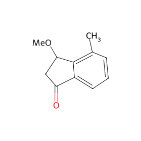 COC1CC(=O)c2cccc(C)c21